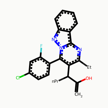 C=C(O)C(CCC)c1c(CC)nc2c3ccccc3nn2c1-c1ccc(Cl)cc1F